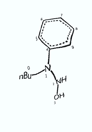 CCCCN(NO)c1ccccc1